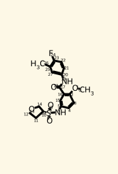 COc1ccc(NS(=O)(=O)[C@H]2CCOC2)cc1C(=O)Nc1ccc(F)c(C)c1